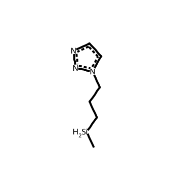 C[SiH2]CCCn1ccnn1